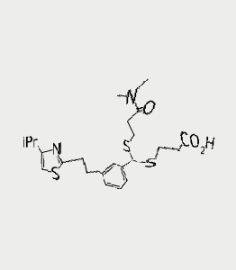 CC(C)c1csc(CCc2cccc(C(SCCC(=O)O)SCCC(=O)N(C)C)c2)n1